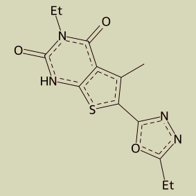 CCc1nnc(-c2sc3[nH]c(=O)n(CC)c(=O)c3c2C)o1